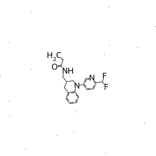 C=CC(=O)NCC1Cc2ccccc2N(c2ccc(C(F)F)nc2)C1